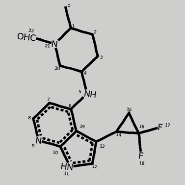 CC1CCC(Nc2ccnc3[nH]cc(C4CC4(F)F)c23)CN1C=O